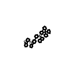 c1ccc(C2(c3ccccc3)c3ccccc3-c3ccc(N(c4cccc(-c5ccc6c7ccccc7n(-c7cccc8sc9ccccc9c78)c6c5)c4)c4cccc5ccccc45)cc32)cc1